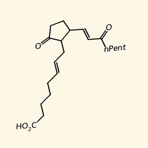 CCCCCC(=O)/C=C/C1CCC(=O)C1C/C=C/CCCCC(=O)O